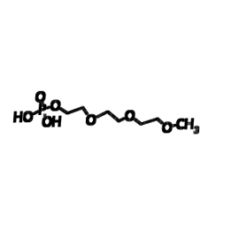 COCCOCCOCCOP(=O)(O)O